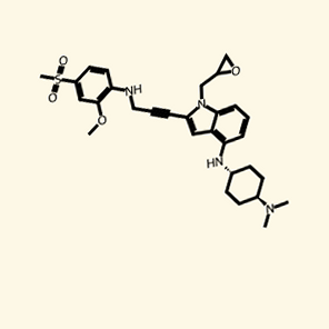 COc1cc(S(C)(=O)=O)ccc1NCC#Cc1cc2c(N[C@H]3CC[C@H](N(C)C)CC3)cccc2n1CC1CO1